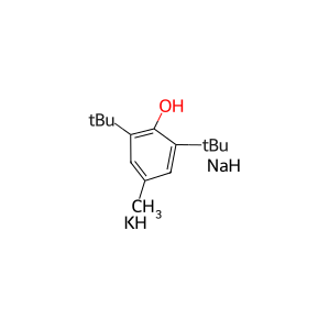 Cc1cc(C(C)(C)C)c(O)c(C(C)(C)C)c1.[KH].[NaH]